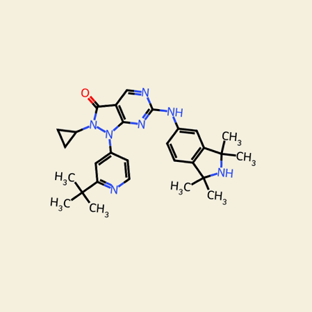 CC(C)(C)c1cc(-n2c3nc(Nc4ccc5c(c4)C(C)(C)NC5(C)C)ncc3c(=O)n2C2CC2)ccn1